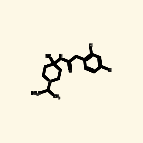 CC(C(=O)O)N1CCC(C#N)(NC(=O)Cc2ccc(Cl)cc2Cl)CC1